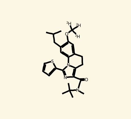 [2H]C([2H])([2H])Oc1cc2c(cc1CC(C)C)-n1c(-c3cccs3)nc(C(=O)N(C)C(C)(C)C)c1CC2